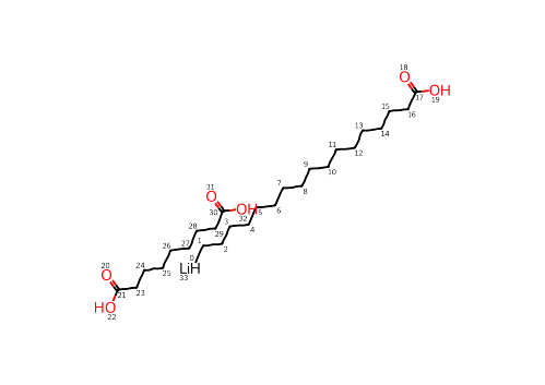 CCCCCCCCCCCCCCCCCC(=O)O.O=C(O)CCCCCCCC(=O)O.[LiH]